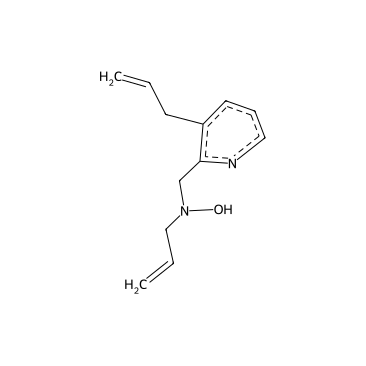 C=CCc1cccnc1CN(O)CC=C